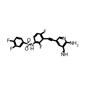 N=Cc1cc(C#Cc2c(F)ccc(NS(=O)(=O)c3ccc(F)c(F)c3)c2F)cnc1N